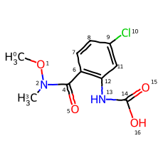 CON(C)C(=O)c1ccc(Cl)cc1NC(=O)O